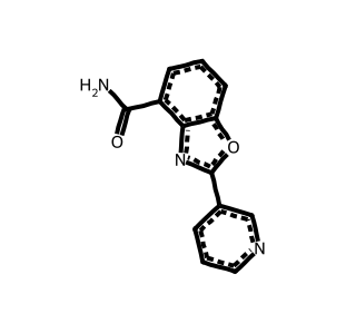 NC(=O)c1cccc2oc(-c3cccnc3)nc12